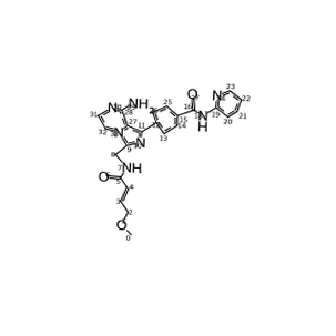 COCC=CC(=O)NCc1nc(-c2ccc(C(=O)Nc3ccccn3)cc2)c2c(N)nccn12